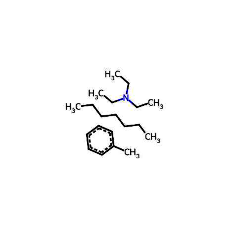 CCCCCCC.CCN(CC)CC.Cc1ccccc1